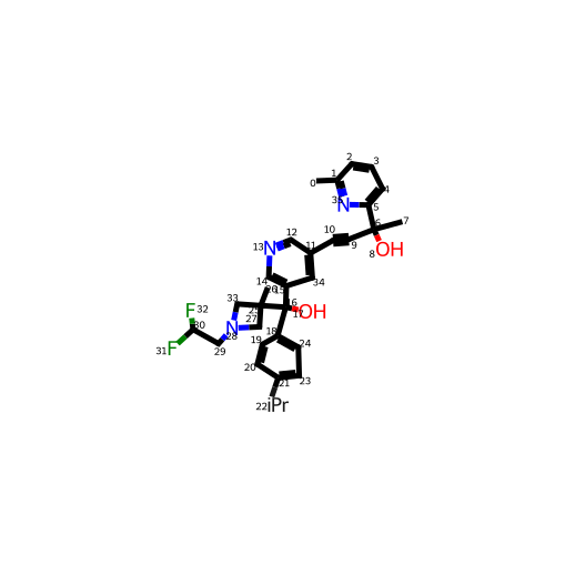 Cc1cccc(C(C)(O)C#Cc2cncc(C(O)(c3ccc(C(C)C)cc3)C3(C)CN(CC(F)F)C3)c2)n1